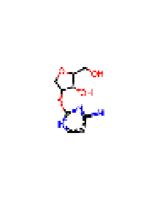 N=c1cc[nH]c(OC2COC(CO)[C@H]2O)n1